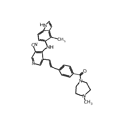 Cc1c(Nc2c(C#N)cncc2C=Cc2ccc(C(=O)N3CCN(C)CC3)cc2)ccc2[nH]ccc12